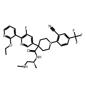 CCOc1ncccc1-c1ncc(C2(C(=O)N[C@@H](C)CNC)CCN(c3ccc(C(F)(F)F)cc3C#N)CC2)cc1F